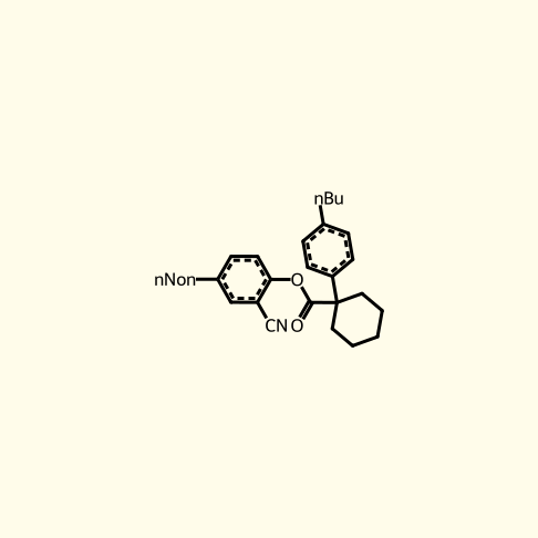 CCCCCCCCCc1ccc(OC(=O)C2(c3ccc(CCCC)cc3)CCCCC2)c(C#N)c1